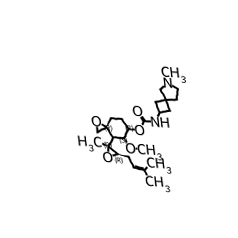 CO[C@H]1C([C@@]2(C)O[C@@H]2CC=C(C)C)[C@]2(CC[C@H]1OC(=O)NC1CC3(CCN(C)C3)C1)CO2